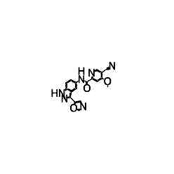 COc1cc(C(=O)Nc2ccc3[nH]nc(-c4cnco4)c3c2)ncc1C#N